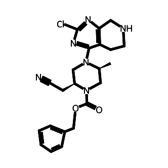 C[C@H]1CN(C(=O)OCc2ccccc2)[C@@H](CC#N)CN1c1nc(Cl)nc2c1CCNC2